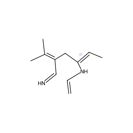 C=CN/C(=C\C)CC(C=N)=C(C)C